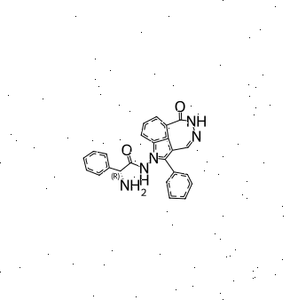 N[C@@H](C(=O)Nn1c(-c2ccccc2)c2c3c(cccc31)C(=O)NN=C2)c1ccccc1